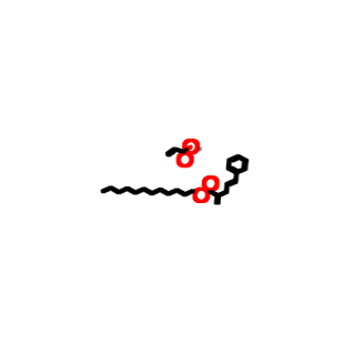 C=C(CC=Cc1ccccc1)C(=O)OCCCCCCCCCCCC.C=CC(=O)OC